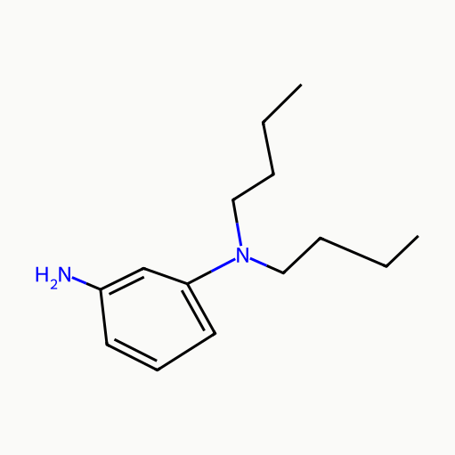 CCCCN(CCCC)c1cccc(N)c1